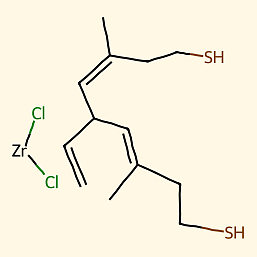 C=CC(C=C(C)CCS)C=C(C)CCS.[Cl][Zr][Cl]